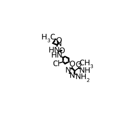 COC(=N)c1c(N)ncnc1Oc1ccc(NC(=O)Nc2cc(C)on2)c(Cl)c1